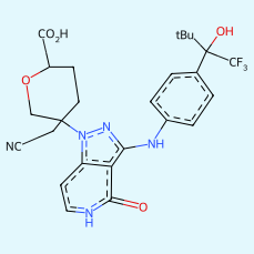 CC(C)(C)C(O)(c1ccc(Nc2nn(C3(CC#N)CCC(C(=O)O)OC3)c3cc[nH]c(=O)c23)cc1)C(F)(F)F